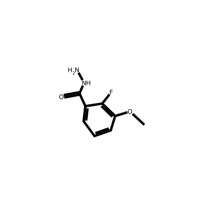 COc1cccc(C(=O)NN)c1F